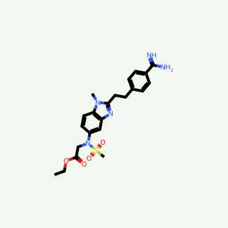 CCOC(=O)CN(c1ccc2c(c1)nc(CCc1ccc(C(=N)N)cc1)n2C)S(C)(=O)=O